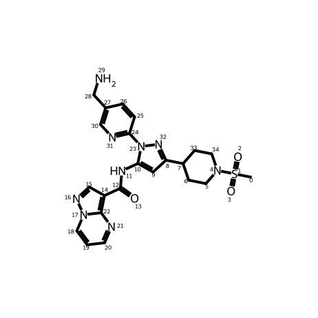 CS(=O)(=O)N1CCC(c2cc(NC(=O)c3cnn4cccnc34)n(-c3ccc(CN)cn3)n2)CC1